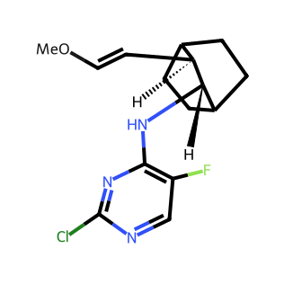 CO/C=C/[C@H]1C2CCC(CC2)[C@@H]1Nc1nc(Cl)ncc1F